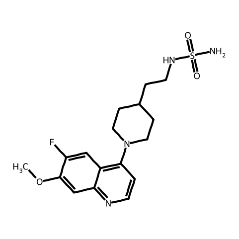 COc1cc2nccc(N3CCC(CCNS(N)(=O)=O)CC3)c2cc1F